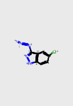 [N-]=[N+]=Nc1n[nH]c2ccc(Cl)cc12